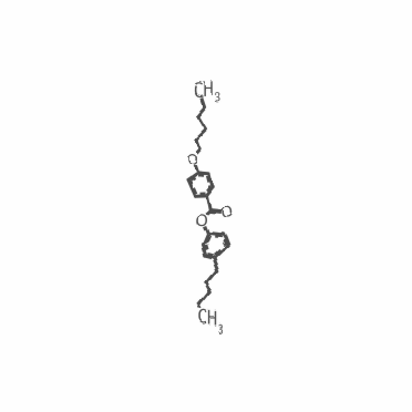 CCCCCCOc1ccc(C(=O)Oc2ccc(CCCCC)cc2)cc1